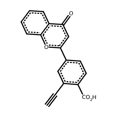 C#Cc1cc(-c2cc(=O)c3ccccc3o2)ccc1C(=O)O